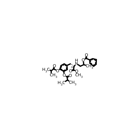 COC(=O)[C@H](Cc1ccc(OC(=O)C(C)C)c(OC(=O)C(C)C)c1)NCC(C)OC(=O)c1ccccc1